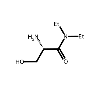 CCN(CC)C(=O)[C@@H](N)CO